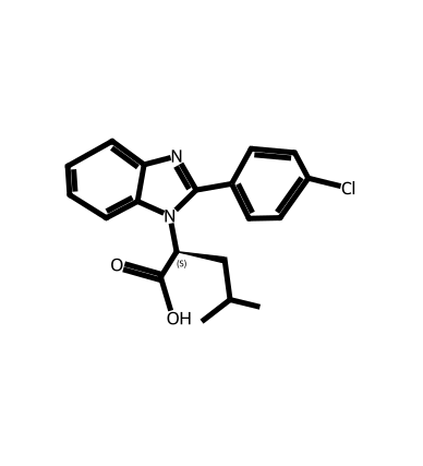 CC(C)C[C@@H](C(=O)O)n1c(-c2ccc(Cl)cc2)nc2ccccc21